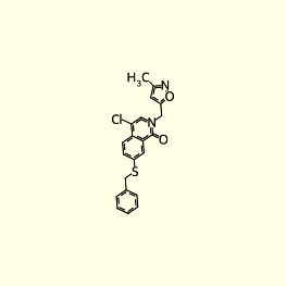 Cc1cc(Cn2cc(Cl)c3ccc(SCc4ccccc4)cc3c2=O)on1